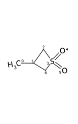 CC1CS(=O)(=O)C1